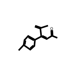 C=C(C)/C(=C\C(C)=O)c1ccc(C)cc1